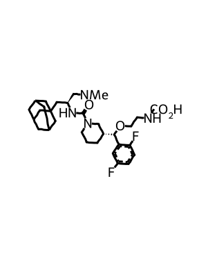 CNC[C@H](CC12CC3CC(CC(C3)C1)C2)NC(=O)N1CCC[C@@H](C(OCCNC(=O)O)c2cc(F)ccc2F)C1